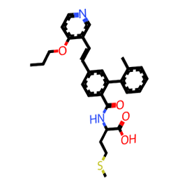 CCCOc1ccncc1/C=C/c1ccc(C(=O)NC(CCSC)C(=O)O)c(-c2ccccc2C)c1